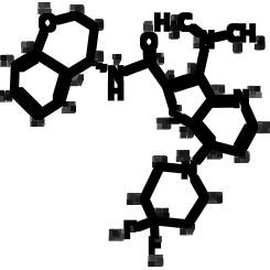 CN(C)c1c(C(=O)N[C@H]2CCOc3ccccc32)sc2c(N3CCC(F)(F)CC3)ccnc12